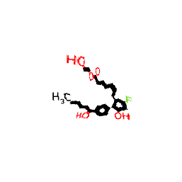 CCCCCC(O)c1ccc([C@@H]2[C@@H](C/C=C\CCCC(=O)OCCO)[C@H](F)C[C@H]2O)cc1